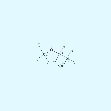 CCCC[Si](C)(C)C(C)(C)O[Si](C)(C)C(C)C